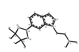 CN(C)CCn1ncc2ccc(B3OC(C)(C)C(C)(C)O3)cc21